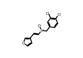 [O-][S+](C=Cc1ccoc1)Cc1ccc(Cl)c(Cl)c1